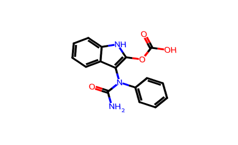 NC(=O)N(c1ccccc1)c1c(OC(=O)O)[nH]c2ccccc12